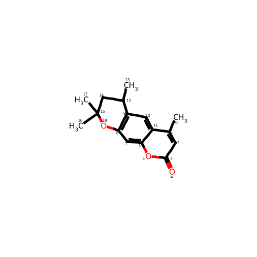 Cc1cc(=O)oc2cc3c(cc12)C(C)CC(C)(C)O3